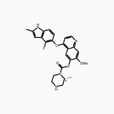 COc1cc2nccc(Oc3ccc4[nH]c(C)cc4c3F)c2cc1OC(=O)N1CCNC[C@H]1C